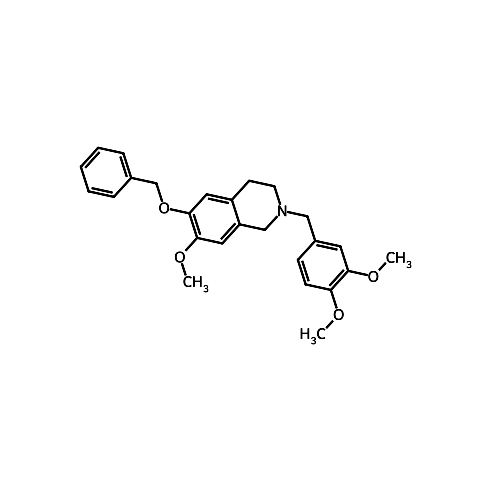 COc1ccc(CN2CCc3cc(OCc4ccccc4)c(OC)cc3C2)cc1OC